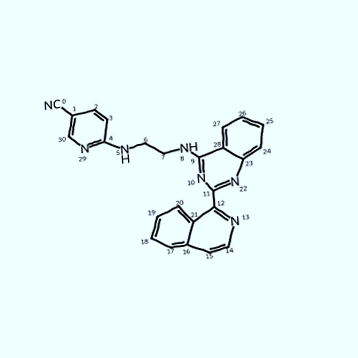 N#Cc1ccc(NCCNc2nc(-c3nccc4ccccc34)nc3ccccc23)nc1